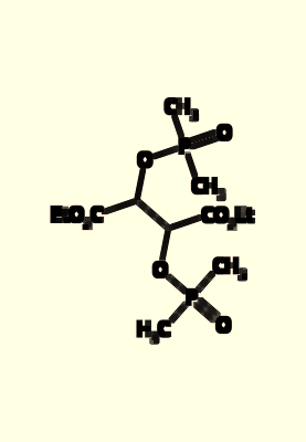 CCOC(=O)C(OP(C)(C)=O)C(OP(C)(C)=O)C(=O)OCC